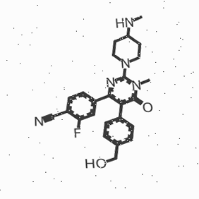 CNC1CCN(c2nc(-c3ccc(C#N)c(F)c3)c(-c3ccc(CO)cc3)c(=O)n2C)CC1